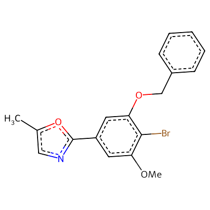 COc1cc(-c2ncc(C)o2)cc(OCc2ccccc2)c1Br